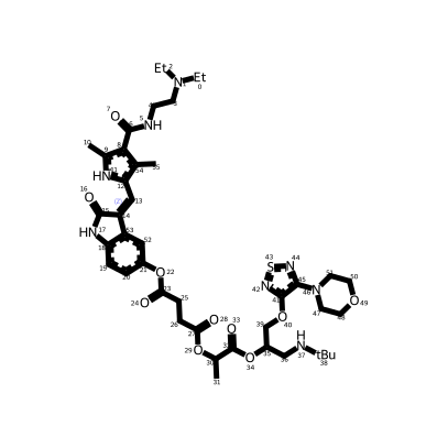 CCN(CC)CCNC(=O)c1c(C)[nH]c(/C=C2\C(=O)Nc3ccc(OC(=O)CCC(=O)OC(C)C(=O)OC(CNC(C)(C)C)COc4nsnc4N4CCOCC4)cc32)c1C